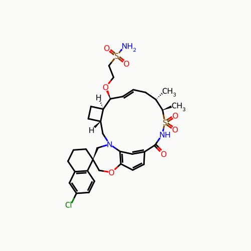 C[C@@H]1[C@@H](C)C/C=C/[C@H](OCCS(N)(=O)=O)[C@@H]2CC[C@H]2CN2C[C@@]3(CCCc4cc(Cl)ccc43)COc3ccc(cc32)C(=O)NS1(=O)=O